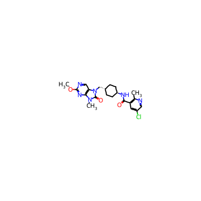 COc1ncc2c(n1)n(C)c(=O)n2C[C@H]1CC[C@H](NC(=O)c2cc(Cl)cnc2C)CC1